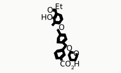 CCC(=O)c1ccc(OCc2ccc(C(OC3CCCCO3)c3cccc(C(=O)O)c3)cc2)c(C)c1O